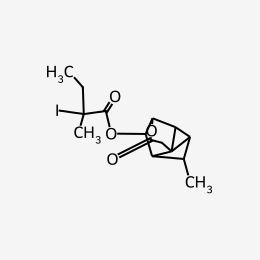 CCC(C)(I)C(=O)OC1C2OC(=O)CC34C1C(C)C3C24